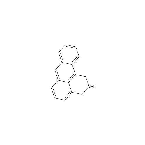 c1ccc2c3c4c(cccc4cc2c1)CNC3